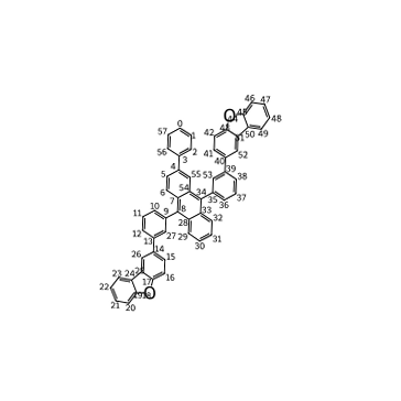 c1ccc(-c2ccc3c(-c4cccc(-c5ccc6oc7ccccc7c6c5)c4)c4ccccc4c(-c4cccc(-c5ccc6oc7ccccc7c6c5)c4)c3c2)cc1